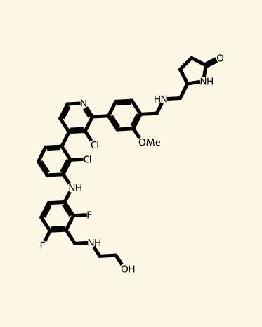 COc1cc(-c2nccc(-c3cccc(Nc4ccc(F)c(CNCCO)c4F)c3Cl)c2Cl)ccc1CNCC1CCC(=O)N1